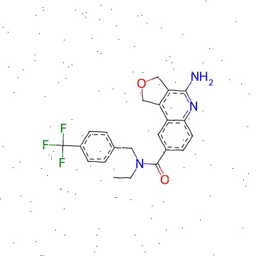 CCN(Cc1ccc(C(F)(F)F)cc1)C(=O)c1ccc2nc(N)c3c(c2c1)COC3